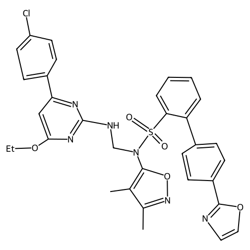 CCOc1cc(-c2ccc(Cl)cc2)nc(NCN(c2onc(C)c2C)S(=O)(=O)c2ccccc2-c2ccc(-c3ncco3)cc2)n1